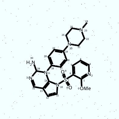 COc1ncccc1S(=O)(=O)n1ccc2c1N(c1ccc(N3CCN(C)CC3)cc1)C(N)N=C2